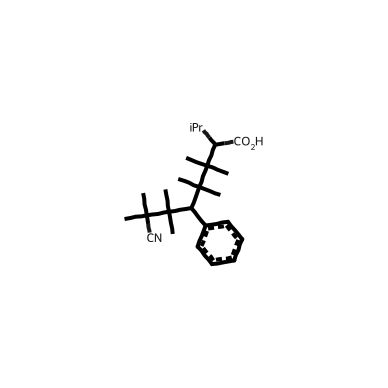 CC(C)C(C(=O)O)C(C)(C)C(C)(C)C(c1ccccc1)C(C)(C)C(C)(C)C#N